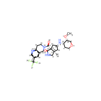 CO[C@@H]1COCC[C@@H]1N[C@@H]1C[C@H]2CNC(=O)[C@@]2(C(=O)N2CCc3ncc(C(F)(F)F)cc3C2)C1